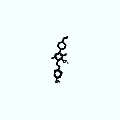 C=CC1CCC(c2cc(C)c(CCc3ccc(CCC)cc3)c(C(F)(F)F)c2F)CC1